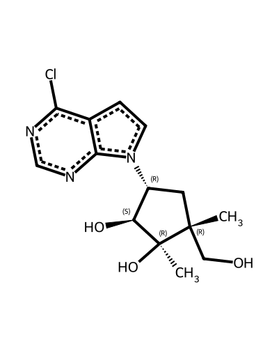 C[C@]1(CO)C[C@@H](n2ccc3c(Cl)ncnc32)[C@H](O)[C@]1(C)O